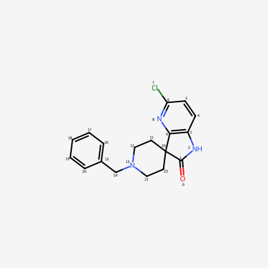 O=C1Nc2ccc(Cl)nc2C12CCN(Cc1ccccc1)CC2